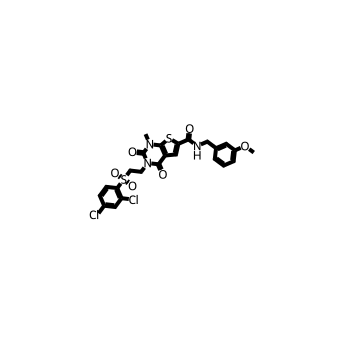 COc1cccc(CNC(=O)c2cc3c(=O)n(CCS(=O)(=O)c4ccc(Cl)cc4Cl)c(=O)n(C)c3s2)c1